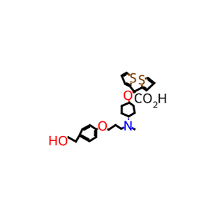 CN(CCCOc1ccc(CCO)cc1)[C@H]1CC[C@H](OC(C(=O)O)(c2cccs2)c2cccs2)CC1